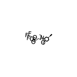 C#Cc1ccc(OC)c(N(CC)CCCS(=O)(=O)OCC(F)(F)F)c1